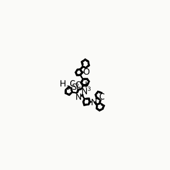 C[Si]1(C)c2ccccc2-c2nc(-c3cccc(-n4c5ccccc5c5ccccc54)c3)nc(-c3cccc(-c4cccc5c4oc4ccccc45)c3)c21